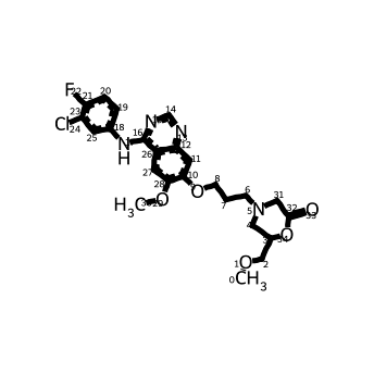 COCC1CN(CCCOc2cc3ncnc(Nc4ccc(F)c(Cl)c4)c3cc2OC)CC(=O)O1